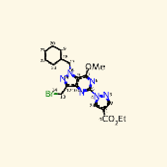 CCOC(=O)c1cnn(-c2nc(OC)c3c(n2)c(CBr)nn3CC2CCCCC2)c1